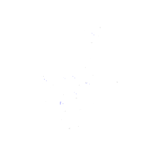 COc1cc2c(cc1Nc1nnc(C(N)=O)c(Nc3ccccc3CO)n1)CC(N(C)C)C2